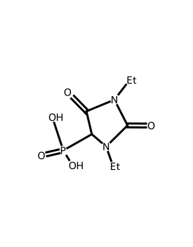 CCN1C(=O)C(P(=O)(O)O)N(CC)C1=O